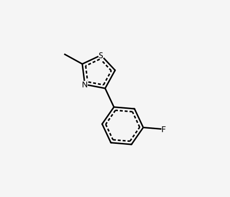 Cc1nc(-c2cccc(F)c2)cs1